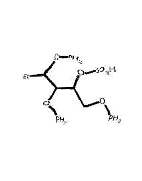 CCC(OP)C(OP)C(COP)OS(=O)(=O)O